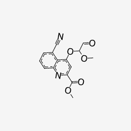 COC(=O)c1cc(OC(C=O)OC)c2c(C#N)cccc2n1